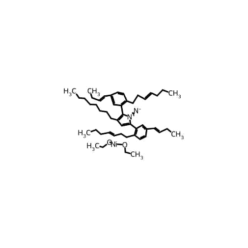 CCC=Cc1ccc(CCC=CCCC)c(C2=CC(CCCCCCCC)=C(c3cc(C=CCC)ccc3CCC=CCCC)[N+]2=[N-])c1.CC[O][Ni][O]CC